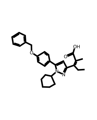 CCC(=C(C)C(=O)O)c1cc(-c2ccc(OCc3ccccc3)cc2)n(C2CCCCC2)n1